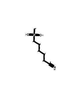 CS(=O)(=O)CCCCCC#N